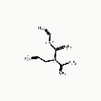 C=CCN(C(=C)C)C(=C)NC=C